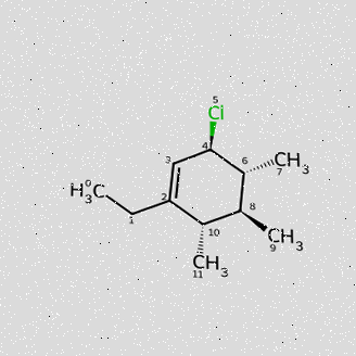 CCC1=C[C@@H](Cl)[C@H](C)[C@@H](C)[C@@H]1C